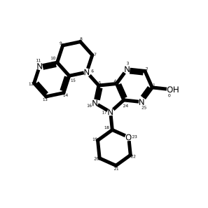 Oc1cnc2c(N3CCCc4ncccc43)nn(C3CCCCO3)c2n1